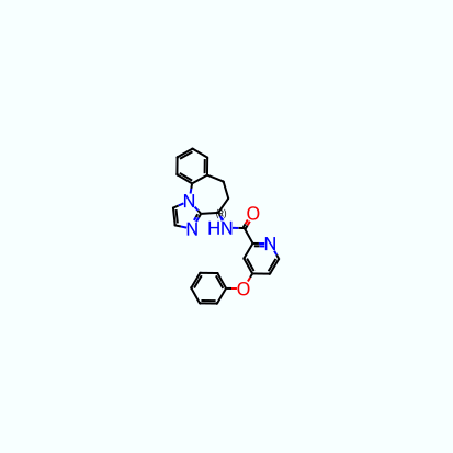 O=C(N[C@@H]1CCc2ccccc2-n2ccnc21)c1cc(Oc2ccccc2)ccn1